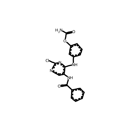 NC(=O)Oc1cccc(Nc2nc(Cl)ncc2NC(=O)c2ccccc2)c1